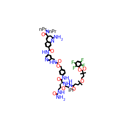 CCCN(CCC)C(=O)C1=Cc2ccc(C(=O)Nc3cncc(CNC(=O)OCc4ccc(NC(=O)[C@H](CCCNC(N)=O)NC(=O)[C@@H](NC(=O)CCC(C)(C)OCCC(C)(C)C(=O)Oc5c(F)c(F)cc(F)c5F)C(C)C)cc4)c3)cc2N=C(N)C1